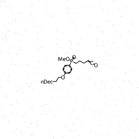 CCCCCCCCCCCCOc1ccc(P(=O)(CCCC=C=O)OC)cc1